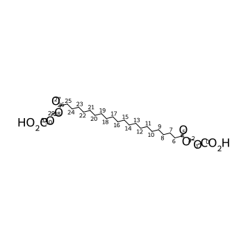 O=C(O)OCOC(=O)CCCCCCCCCCCCCCCCCCCCC(=O)OCOC(=O)O